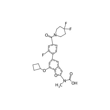 CN(C(=O)O)c1cc2cc(-c3ccc(C(=O)N4CCC(F)(F)CC4)cc3F)cc(OC3CCC3)c2o1